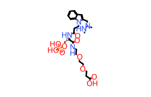 CNN(C)Cc1cc2ccccc2n1CCC(=O)N[C@@H](COP(=O)(O)O)C(=O)NCCOCCOCCC(=O)O